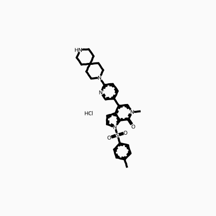 Cc1ccc(S(=O)(=O)n2ccc3c(-c4ccc(N5CCC6(CCNCC6)CC5)nc4)cn(C)c(=O)c32)cc1.Cl